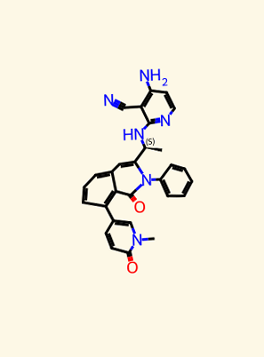 C[C@H](Nc1nccc(N)c1C#N)c1cc2cccc(-c3ccc(=O)n(C)c3)c2c(=O)n1-c1ccccc1